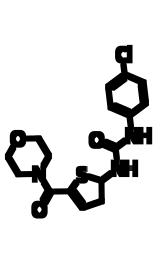 O=C(Nc1ccc(Cl)cc1)NC1CC=C(C(=O)N2CCOCC2)S1